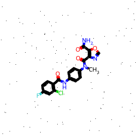 CN(C(=O)c1ncoc1C(N)=O)c1ccc(NC(=O)c2ccc(F)cc2Cl)cc1